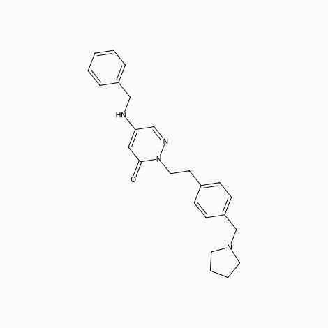 O=c1cc(NCc2ccccc2)cnn1CCc1ccc(CN2CCCC2)cc1